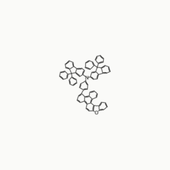 c1ccc(C2(c3ccccc3)c3ccccc3-c3ccc(N(c4ccc(-c5cccc6c7ccc8oc9ccccc9c8c7c7ccccc7c56)cc4)c4ccc5c(c4)C(c4ccccc4)(c4ccccc4)c4ccccc4-5)cc32)cc1